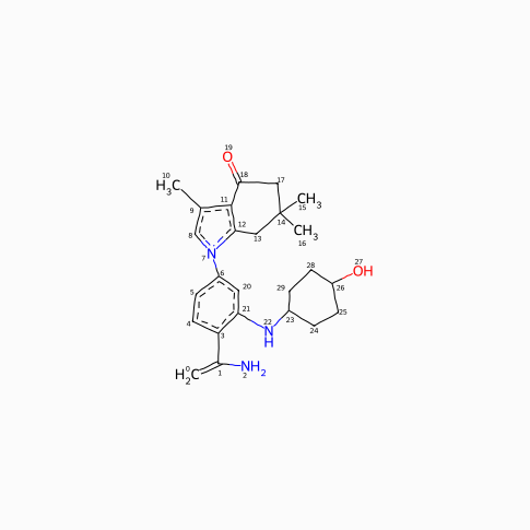 C=C(N)c1ccc(-n2cc(C)c3c2CC(C)(C)CC3=O)cc1NC1CCC(O)CC1